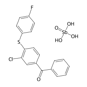 O=C(c1ccccc1)c1ccc(Sc2ccc(F)cc2)c(Cl)c1.[O]=[Sb]([OH])([OH])[OH]